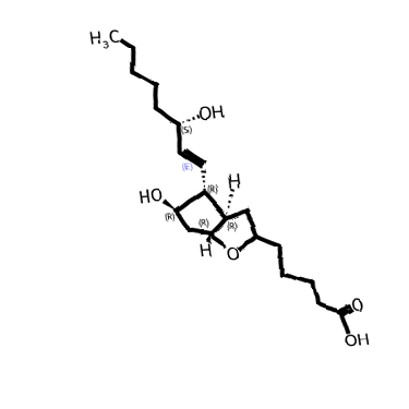 CCCCC[C@H](O)/C=C/[C@@H]1[C@H]2CC(CCCCC(=O)O)O[C@@H]2C[C@H]1O